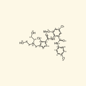 COc1cc(Cl)cc(C(=O)Nc2ccc(Cl)cn2)c1NC(=O)c1scc(CN(CCO)CCO)c1Cl